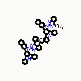 Cc1nc(-n2c3cc4ccccc4cc3c3cc4c5cc(CC6(C)c7ccccc7-c7nc(-n8c9cc%10ccccc%10cc9c9cc%10c%11ccccc%11n%11c%12ccccc%12c(c98)c%10%11)nc8cccc6c78)ccc5n5c6ccccc6c(c32)c45)nc2ccccc12